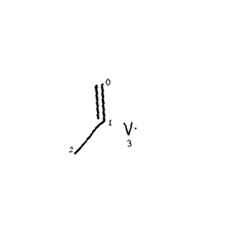 C=CC.[V]